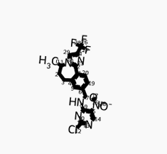 CC1CCc2cc(CNc3nc(Cl)ncc3[N+](=O)[O-])ccc2-c2nc(C(F)(F)F)cn21